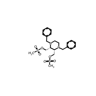 CS(=O)(=O)OC[C@@H]1[C@H](COS(C)(=O)=O)N(Cc2ccccc2)CCN1Cc1ccccc1